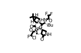 CC[C@@H](C)[C@H](NC(=O)C(F)F)C(=O)N1C[C@H]2[C@@H]([C@H]1C(=O)NN(C[C@@H]1CCNC1=O)C(=O)[C@@H](F)Cl)C2(C)C